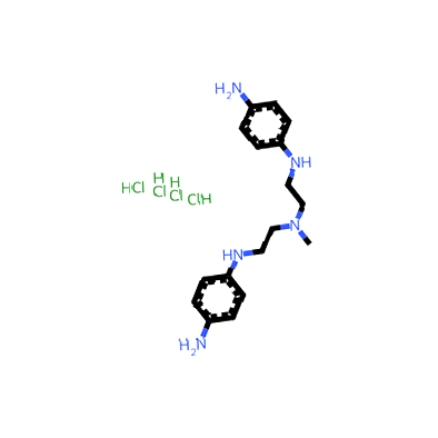 CN(CCNc1ccc(N)cc1)CCNc1ccc(N)cc1.Cl.Cl.Cl.Cl